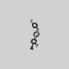 Fc1ccc(CN2CCN(c3c[c]c(C4CC4)c(F)c3)CC2)cc1